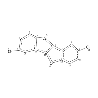 Clc1ccc2sc3c4cc(Cl)ccc4oc3c2c1